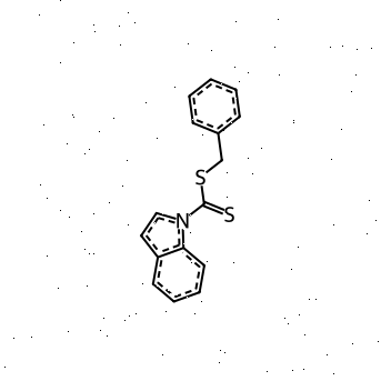 S=C(SCc1ccccc1)n1ccc2ccccc21